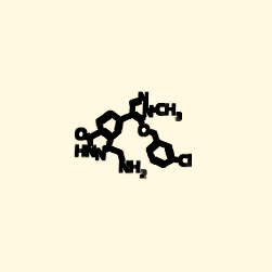 Cn1ncc(-c2ccc3c(=O)[nH]nc(CN)c3c2)c1OCc1cccc(Cl)c1